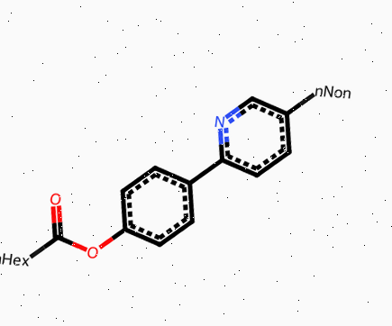 CCCCCCCCCc1ccc(-c2ccc(OC(=O)CCCCCC)cc2)nc1